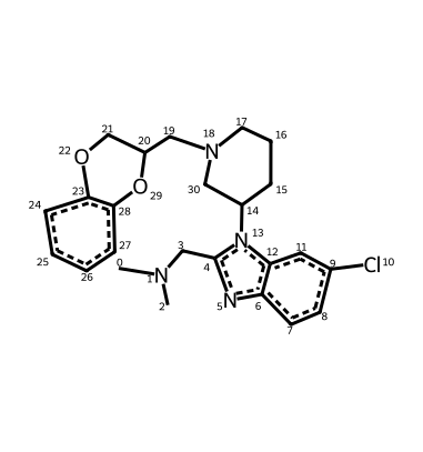 CN(C)Cc1nc2ccc(Cl)cc2n1C1CCCN(CC2COc3ccccc3O2)C1